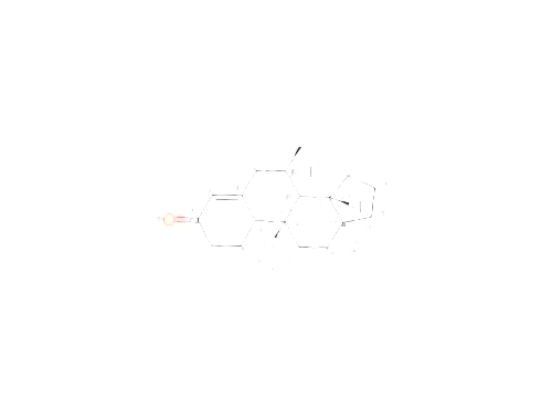 C[C@@H]1CC2=CC(=O)CCC2[C@@H]2[C@@H]1[C@@H]1CC[C@H](C)[C@@]1(C)C[C@@H]2C